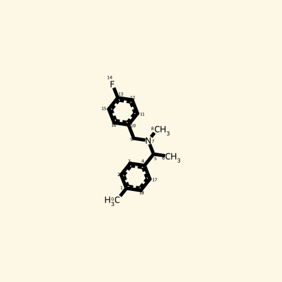 Cc1ccc(C(C)N(C)Cc2ccc(F)cc2)cc1